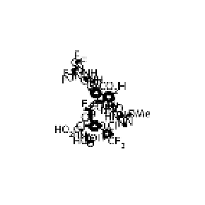 COc1nc(C)nc(NC(=O)NS(=O)(=O)c2ccccc2CCC(F)(F)F)n1.C[C@H](OC(=O)c1cc(Oc2ccc(C(F)(F)F)cc2Cl)ccc1Cl)C(=O)O.O=C(Nc1nc(OC(F)F)cc(OC(F)F)n1)NS(=O)(=O)c1ccccc1C(=O)O.O=C(O)CNCP(=O)(O)O